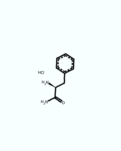 Cl.NC(=O)[C@@H](N)Cc1ccccc1